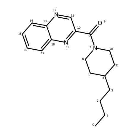 CCCCC1CCN(C(=O)c2cnc3ccccc3n2)CC1